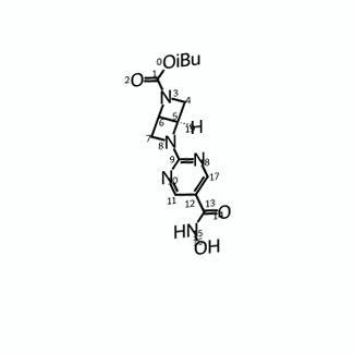 CC(C)COC(=O)N1C[C@@H]2C1CN2c1ncc(C(=O)NO)cn1